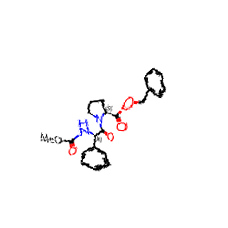 COC(=O)N[C@@H](C(=O)N1CCC[C@H]1C(=O)OCc1ccccc1)c1ccccc1